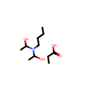 CCC(=O)O.CCCCN(C(C)O)C(C)O